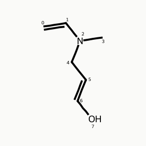 C=CN(C)CC=CO